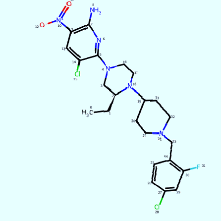 CC[C@H]1CN(c2nc(N)c([N+](=O)[O-])cc2Cl)CCN1C1CCN(Cc2ccc(Cl)cc2F)CC1